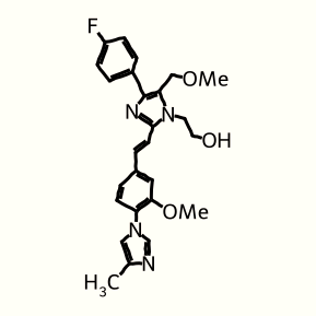 COCc1c(-c2ccc(F)cc2)nc(C=Cc2ccc(-n3cnc(C)c3)c(OC)c2)n1CCO